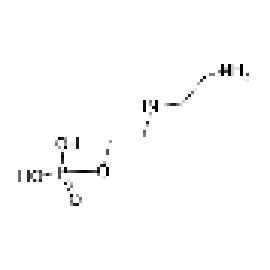 NCCNCCOP(=O)(O)O